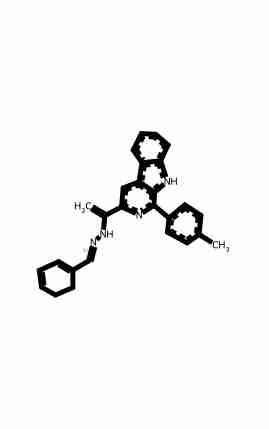 C=C(N/N=C/C1=CC=CCC1)c1cc2c([nH]c3ccccc32)c(-c2ccc(C)cc2)n1